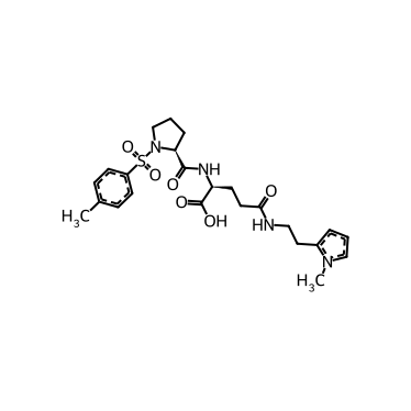 Cc1ccc(S(=O)(=O)N2CCC[C@H]2C(=O)N[C@@H](CCC(=O)NCCc2cccn2C)C(=O)O)cc1